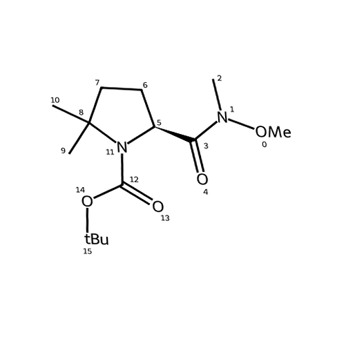 CON(C)C(=O)[C@@H]1CCC(C)(C)N1C(=O)OC(C)(C)C